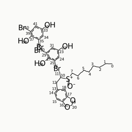 CCCCCCCC[S+]([O-])C(C)Cc1ccc2c(c1)OCO2.Oc1cc(Br)c(O)c(Br)c1.Oc1cc(Br)c(O)c(Br)c1